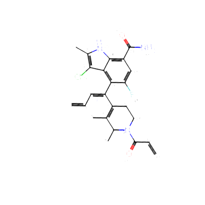 C=C/C=C(\C1=C(C)C(C)N(C(=O)C=C)CC1)c1c(F)cc(C(N)=O)c2[nH]c(C)c(Cl)c12